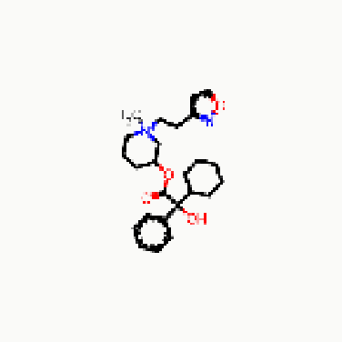 C[N@+]1(CCc2ccon2)CCCC(OC(=O)C(O)(c2ccccc2)C2CCCCC2)C1